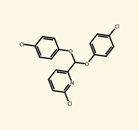 Clc1ccc(OC(Oc2ccc(Cl)cc2)c2cccc(Cl)n2)cc1